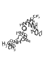 COC(=O)C(CCCNC(=O)C(=O)N(C)C)NC(=O)c1ccc(Nc2nc(NC3(c4ccc(Cl)cc4)CC3)nc(OCC(F)(F)F)n2)cc1